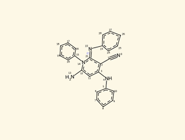 N#Cc1c(Nc2ccccc2)cc(N)n(-c2ccccc2)/c1=N/c1ccccc1